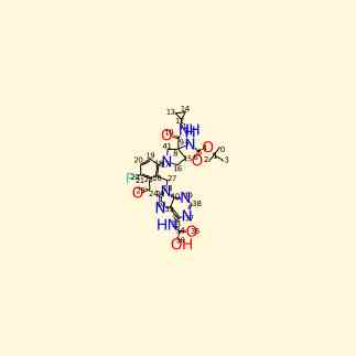 CC(C)(C)OC(=O)NC1(C(=O)NC2CC2)CCN(c2ccc(F)c(C=O)c2Cn2cnc3c(NC(=O)O)ncnc32)C1